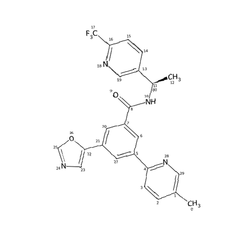 Cc1ccc(-c2cc(C(=O)N[C@H](C)c3ccc(C(F)(F)F)nc3)cc(-c3cnco3)c2)nc1